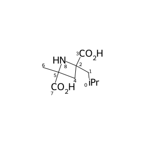 CC(C)CC1(C(=O)O)CC(C)(C(=O)O)N1